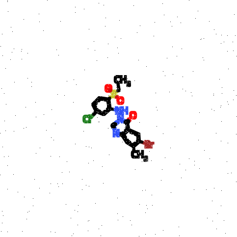 CCS(=O)(=O)c1ccc(Cl)cc1Nn1cnc2cc(C)c(Br)cc2c1=O